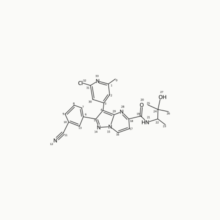 Cc1cc(-c2c(-c3cccc(C#N)c3)nn3ccc(C(=O)NC(C)C(C)(C)O)nc23)cc(Cl)n1